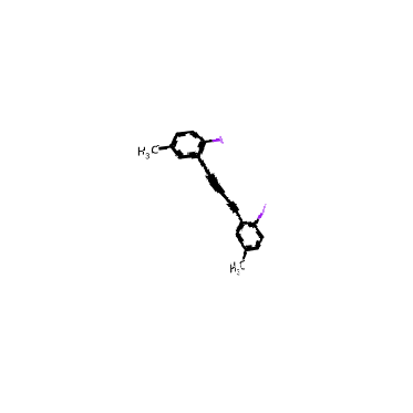 Cc1ccc(I)c(C#CC#Cc2cc(C)ccc2I)c1